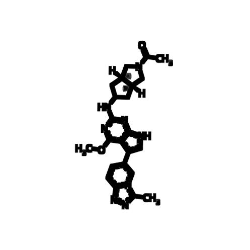 COc1nc(NC2C[C@@H]3CN(C(C)=O)C[C@@H]3C2)nc2[nH]cc(-c3ccc4nnc(C)n4c3)c12